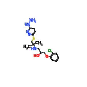 CC(C)(CSc1ccc(NN)nn1)NCC(O)COc1ccccc1Cl